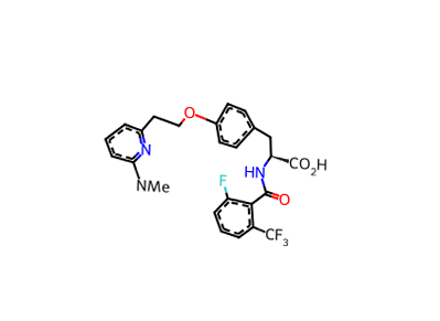 CNc1cccc(CCOc2ccc(C[C@H](NC(=O)c3c(F)cccc3C(F)(F)F)C(=O)O)cc2)n1